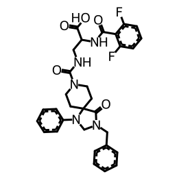 O=C(NC(CNC(=O)N1CCC2(CC1)C(=O)N(Cc1ccccc1)CN2c1ccccc1)C(=O)O)c1c(F)cccc1F